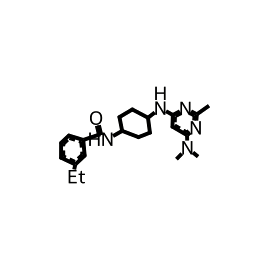 CCc1cccc(C(=O)NC2CCC(Nc3cc(N(C)C)nc(C)n3)CC2)c1